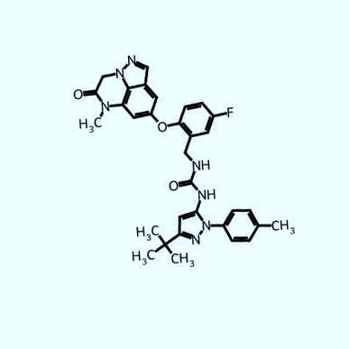 Cc1ccc(-n2nc(C(C)(C)C)cc2NC(=O)NCc2cc(F)ccc2Oc2cc3c4c(cnn4CC(=O)N3C)c2)cc1